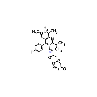 COCc1c(C(C)C)nc(C(C)C)c(/C=C/C(=O)C[C@H](CC=O)OP)c1-c1ccc(F)cc1